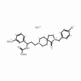 COC(=O)NC(CCN1CCC2(CC1)CCN(Cc1ccc(Br)cc1)C2=O)c1cccc(OC)c1.Cl